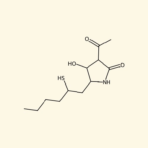 CCCCC(S)CC1NC(=O)C(C(C)=O)C1O